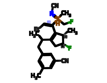 CC/C=C(\C1=C(C(C)Cc2cc(C)cc(C#N)c2)C[C@@H](F)[C@H]1C)[SH](C)(CF)=NC#N